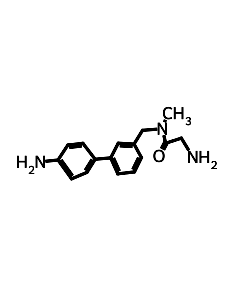 CN(Cc1cccc(-c2ccc(N)cc2)c1)C(=O)CN